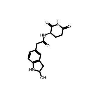 O=C1CC[C@@H](NC(=O)Cc2ccc3c(c2)CC(O)N3)C(=O)N1